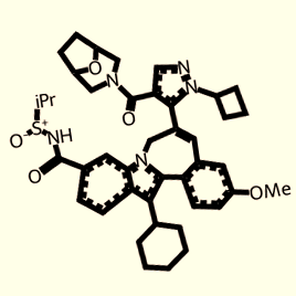 COc1ccc2c(c1)C=C(c1c(C(=O)N3CC4CCC(C3)O4)cnn1C1CCC1)Cn1c-2c(C2CCCCC2)c2ccc(C(=O)N[S+]([O-])C(C)C)cc21